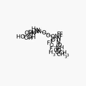 CC(C)(C)OC(=O)NC(CC(=O)N1CCn2c(C(F)(F)F)nc(C(=O)OCCOCCOCCn3cc(CNCC(O)C(O)C(O)C(O)CO)nn3)c2C1)Cc1cc(F)c(F)cc1F